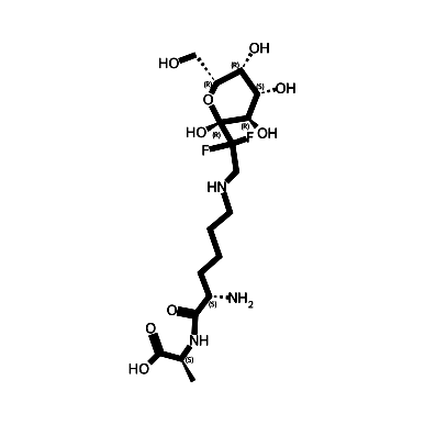 C[C@H](NC(=O)[C@@H](N)CCCCNCC(F)(F)[C@]1(O)O[C@H](CO)[C@H](O)[C@H](O)[C@H]1O)C(=O)O